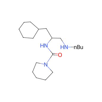 CCCCNCC(CC1CCCCC1)NC(=O)N1CCCCC1